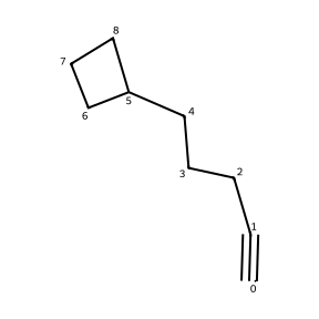 [C]#CCCCC1CCC1